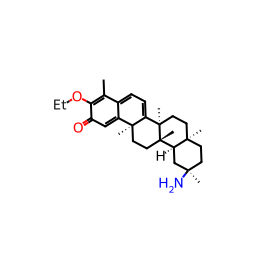 CCOC1=C(C)C2=CC=C3[C@@](C)(CC[C@@]4(C)[C@@H]5C[C@](C)(N)CC[C@]5(C)CC[C@]34C)C2=CC1=O